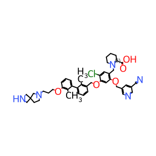 Cc1c(COc2cc(OCc3cncc(C#N)c3)c(CN3CCCC[C@H]3C(=O)O)cc2Cl)cccc1-c1cccc(OCCCN2CCC3(CNC3)C2)c1C